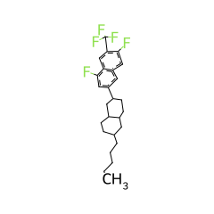 CCCCCC1CCC2CC(c3cc(F)c4cc(C(F)(F)F)c(F)cc4c3)CCC2C1